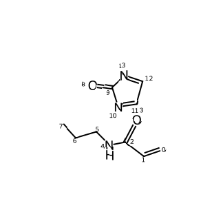 C=CC(=O)NCCC.O=C1N=CC=N1